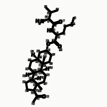 CSCC[C@H](NC(=O)[C@@H](N)C(C)C)C(=O)O[C@@H]1CC[C@@]2(C)[C@@H](CC[C@@H]3[C@@H]2CC[C@]2(C)[C@@H](C(C)=O)CC[C@@H]32)C1